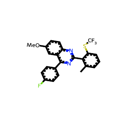 COc1ccc2nc(-c3c(C)cccc3SC(F)(F)F)nc(-c3ccc(F)cc3)c2c1